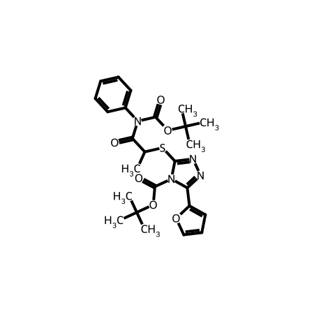 CC(Sc1nnc(-c2ccco2)n1C(=O)OC(C)(C)C)C(=O)N(C(=O)OC(C)(C)C)c1ccccc1